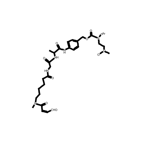 CCCN(CC[S+](C)[O-])C(=O)OCc1ccc(NC(=O)C(C)NC(=O)CNC(=O)CCCCCN(C)C(=O)/C=C\C=O)cc1